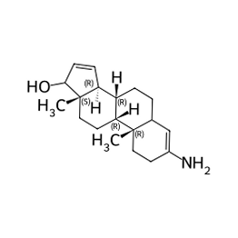 C[C@]12CCC(N)=CC1CC[C@@H]1[C@H]2CC[C@]2(C)C(O)C=C[C@@H]12